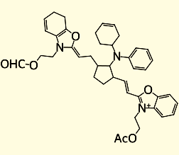 CC(=O)OCC[n+]1c(/C=C/C2CCC(C/C=C3\OC4=C(C=CCC4)N3CCOC=O)C2N(c2ccccc2)C2CC=CCC2)oc2ccccc21